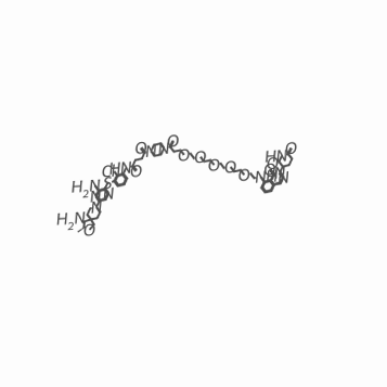 C[C@@H]1OCC2(CCN(c3cnc(Sc4cccc(NC(=O)CCC(=O)N5CCN(C(=O)CCOCCOCCOCCOCCOCCNc6cccc7cnn(C8CCC(=O)NC8=O)c(=O)c67)CC5)c4Cl)c(N)n3)CC2)[C@@H]1N